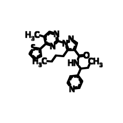 CCCCc1c(C(=O)NC(CC)c2ccncc2)cnn1-c1ncc(C)c(-c2cccs2)n1